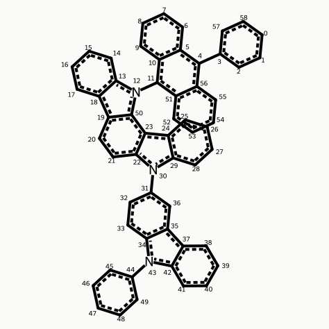 c1ccc(-c2c3ccccc3c(-n3c4ccccc4c4ccc5c(c6ccccc6n5-c5ccc6c(c5)c5ccccc5n6-c5ccccc5)c43)c3ccccc23)cc1